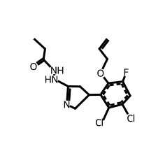 C=CCOc1c(F)cc(Cl)c(Cl)c1C1CN=C(NNC(=O)CC)C1